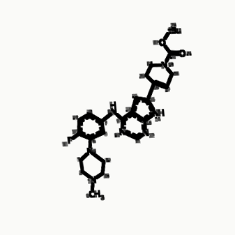 CN1CCN(c2cc(Nc3ncnc4[nH]c(C5=CCN(C(=O)OC(C)(C)C)CC5)cc34)ccc2F)CC1